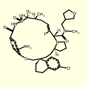 C[C@@H]1[C@@H](C)C/C=C(\F)[C@H](C(=O)N(C)CC2CCOC2)N2CCC[C@H]2CC[C@@]2(CCCc3cc(Cl)ccc32)COc2ccc(cc2N)C(=O)NS1(=O)=O